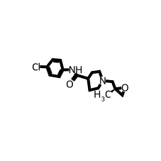 C[C@]1(CN2CCC(C(=O)Nc3ccc(Cl)cc3)CC2)CO1